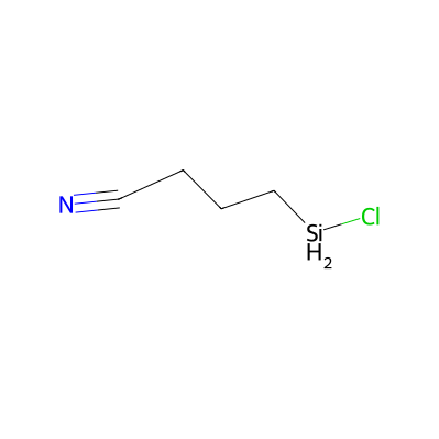 N#CCCC[SiH2]Cl